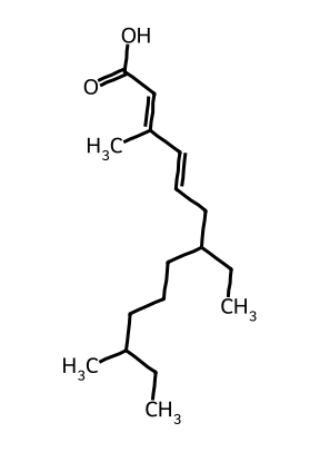 CCC(C)CCCC(CC)C/C=C/C(C)=C/C(=O)O